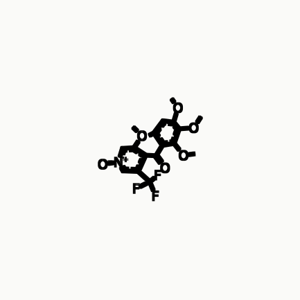 COc1cc(C)c(C(=O)c2c(OC)c[n+]([O-])cc2C(F)(F)F)c(OC)c1OC